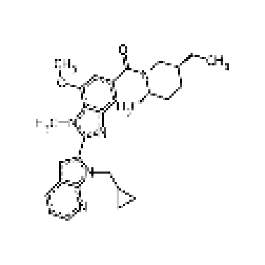 CC[C@H]1CC[C@@H](C)N(C(=O)c2cc(OC)c3c(c2)nc(-c2cc4cccnc4n2CC2CC2)n3C)C1